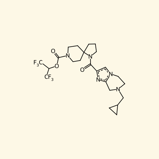 O=C(OC(C(F)(F)F)C(F)(F)F)N1CCC2(CCCN2C(=O)c2cn3c(n2)CN(CC2CC2)CC3)CC1